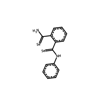 NC(=[Se])c1ccccc1C(=[Se])Nc1ccccc1